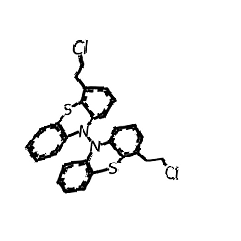 ClCCc1cccc2c1Sc1ccccc1N2N1c2ccccc2Sc2c(CCCl)cccc21